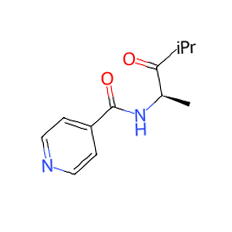 CC(C)C(=O)[C@@H](C)NC(=O)c1ccncc1